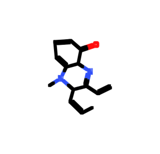 C=CC1=NC2C(=O)C=CC=C2N(C)C1/C=C\C